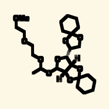 COCCOCCOC(C)OC1O[C@H](C2COC3(CCCCC3)O2)[C@@H]2OC3(CCCCC3)O[C@H]12